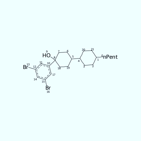 CCCCCC1CCC(C2CCC(O)(c3cc(Br)cc(Br)c3)CC2)CC1